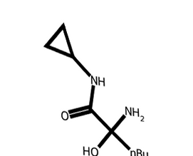 CCCCC(N)(O)C(=O)NC1CC1